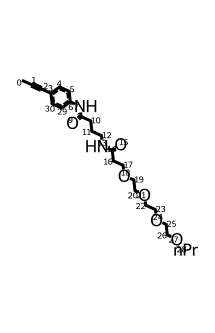 CC#Cc1ccc(NC(=O)CCCNC(=O)CCOCCOCCOCCOCCC)cc1